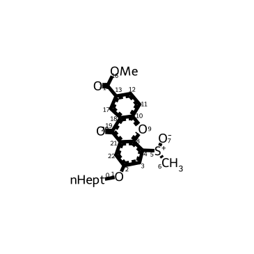 CCCCCCCOc1cc([S+](C)[O-])c2oc3ccc(C(=O)OC)cc3c(=O)c2c1